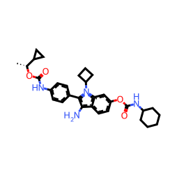 C[C@@H](OC(=O)Nc1ccc(-c2c(N)c3ccc(OC(=O)NC4CCCCC4)cc3n2C2CCC2)cc1)C1CC1